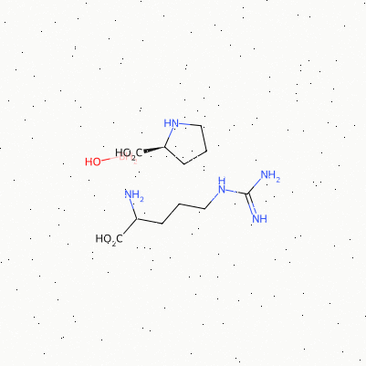 BO.N=C(N)NCCCC(N)C(=O)O.O=C(O)[C@@H]1CCCN1